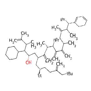 C=C(CC[C@@H](CC)CC(CC(O)C(C1CCCCC1)C(C)C(=C)C)C(=C)C(C)C(CCC)C(=C)C(=C)C(C)CC(=C)C(C)C(C1=CC=CCC1)C(C)C)CC(C)(C)C